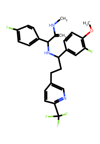 C=C(NC)C(NC(CCc1ccc(C(F)(F)F)nc1)c1ccc(OC)c(F)c1)c1ccc(F)cc1